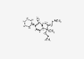 CCOC(=O)C(C)(SCC)c1ccc(N2CCCCC2)c(Cl)c1